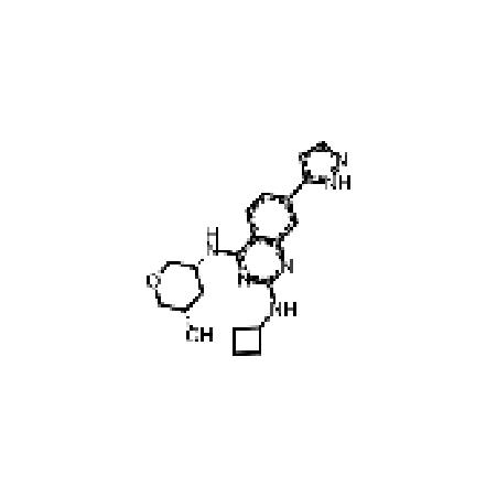 O[C@@H]1COC[C@H](Nc2nc(NC3CCC3)nc3cc(-c4ccn[nH]4)ccc23)C1